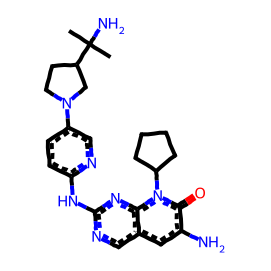 CC(C)(N)C1CCN(c2ccc(Nc3ncc4cc(N)c(=O)n(C5CCCC5)c4n3)nc2)C1